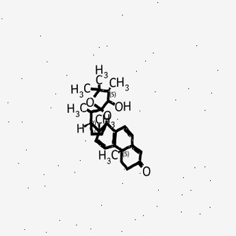 CC1[C@H]2CCC3(OC14OC(C)(C)[C@@H](C)C4O)C1=C(C=C[C@]23C)[C@@]2(C)CCC(=O)C=C2C=C1